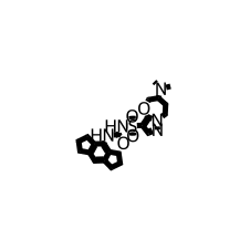 CN(C)C1CCn2ncc(S(=O)(=O)NC(=O)Nc3c4c(cc5c3CCC5)CCC4)c2OC1